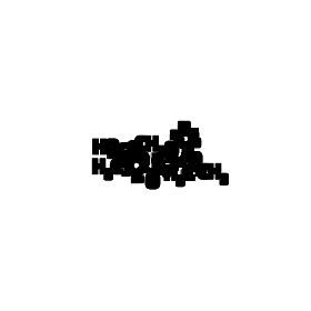 COc1cc(C(=O)N2CCC3(CC2)C[C@@H](OC(C)C)c2ccccc2O3)ccc1C(C)(C)CO